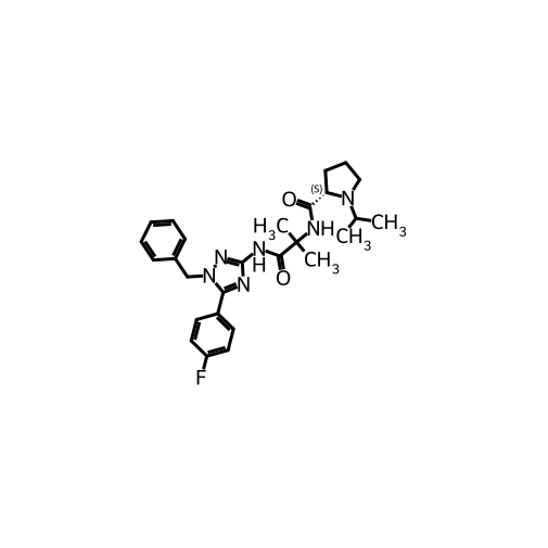 CC(C)N1CCC[C@H]1C(=O)NC(C)(C)C(=O)Nc1nc(-c2ccc(F)cc2)n(Cc2ccccc2)n1